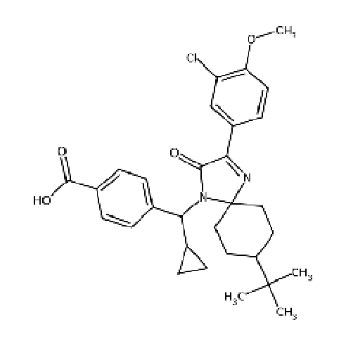 COc1ccc(C2=NC3(CCC(C(C)(C)C)CC3)N(C(c3ccc(C(=O)O)cc3)C3CC3)C2=O)cc1Cl